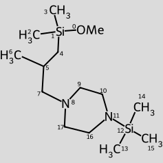 CO[Si](C)(C)CC(C)CN1CCN([Si](C)(C)C)CC1